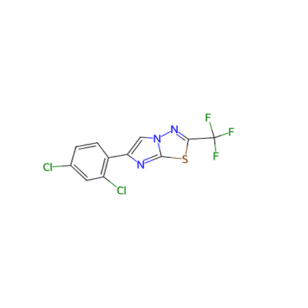 FC(F)(F)c1nn2cc(-c3ccc(Cl)cc3Cl)nc2s1